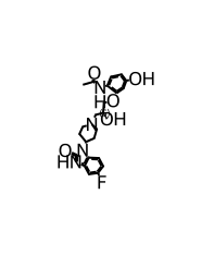 CC(=O)Nc1ccc(O)cc1OC[C@@H](O)CN1CCC(n2c(=O)[nH]c3cc(F)ccc32)CC1